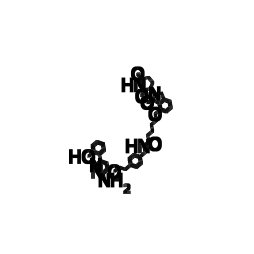 Nc1nnc(-c2ccccc2O)cc1OCCc1ccc(CNC(=O)CCCCOc2cccc3c2C(=O)N(C2CCC(=O)NC2=O)C3)cc1